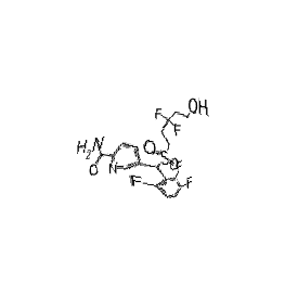 NC(=O)c1ccc(C(c2c(F)ccc(F)c2F)S(=O)(=O)CCC(F)(F)CCO)cn1